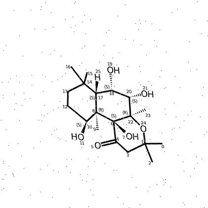 CC1(C)CC(=O)[C@]2(O)[C@@]3(C)[C@@H](O)CCC(C)(C)[C@@H]3[C@H](O)[C@H](O)[C@@]2(C)O1